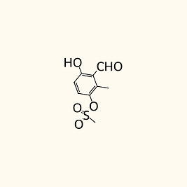 Cc1c(OS(C)(=O)=O)ccc(O)c1C=O